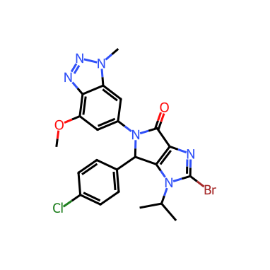 COc1cc(N2C(=O)c3nc(Br)n(C(C)C)c3C2c2ccc(Cl)cc2)cc2c1nnn2C